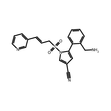 N#Cc1cc(-c2ccccc2CN)n(S(=O)(=O)CC=Cc2cccnc2)c1